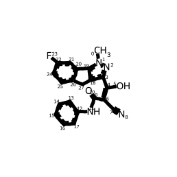 Cn1nc(C(O)=C(C#N)C(=O)Nc2ccccc2)c2c1-c1cc(F)ccc1C2